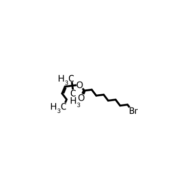 CC/C=C\C(C)(C)OC(=O)CCCCCCCBr